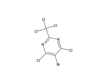 Clc1nc(C(Cl)(Cl)Cl)nc(Cl)c1Br